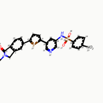 CN1Cc2cc(-c3ccc(-c4cncc(NS(=O)(=O)c5ccc([N+](=O)[O-])cc5)c4)s3)ccc2C1=O